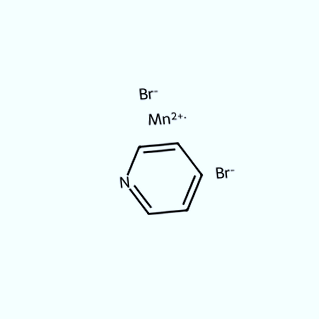 [Br-].[Br-].[Mn+2].c1ccncc1